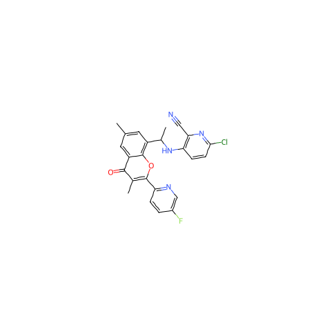 Cc1cc(C(C)Nc2ccc(Cl)nc2C#N)c2oc(-c3ccc(F)cn3)c(C)c(=O)c2c1